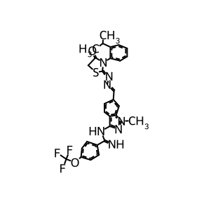 CC(C)c1ccccc1N1C(=O)CS/C1=N\N=C\c1ccc2c(NC(=N)c3ccc(OC(F)(F)F)cc3)nn(C)c2c1